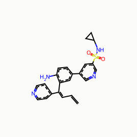 C=C/C=C(/c1ccncc1)c1cc(-c2cncc(S(=O)(=O)NC3CC3)c2)ccc1N